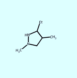 CCC1NN(C)CC1C